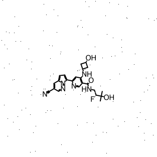 CC(C)(O)[C@H](F)CNC(=O)c1cnc(-c2ccc3cc(C#N)cnn23)cc1N[C@]1(C)C[C@H](O)C1